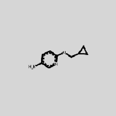 Nc1ccc(OCC2CC2)nc1